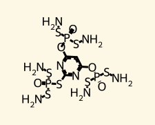 NSP(=O)(Oc1cc(OP(=O)(SN)SN)nc(SP(=O)(SN)SN)n1)SN